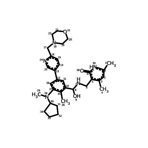 Cc1cc(C)c(CNC(O)c2cc(-c3ccc(CN4CCOCC4)nc3)cc(N(C)C3CCCC3)c2C)c(=O)[nH]1